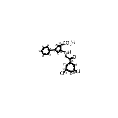 O=C(CNc1cc(-c2ccccc2)sc1C(=O)O)c1cc(Cl)cc(Cl)c1